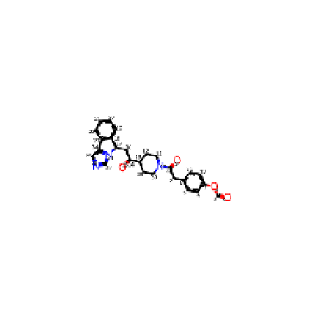 O=COc1ccc(CC(=O)N2CCC(C(=O)CC3c4ccccc4-c4cncn43)CC2)cc1